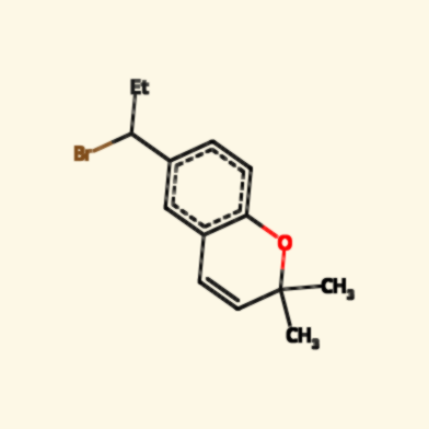 CCC(Br)c1ccc2c(c1)C=CC(C)(C)O2